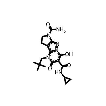 CC(C)(C)Cn1c(=O)c(C(=O)NC2CC2)c(O)n2nc3c(c12)CCN3C(N)=O